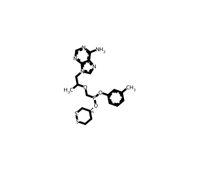 Cc1cccc(OP(COC(C)Cn2cnc3c(N)ncnc32)O[C@@H]2CCSSC2)c1